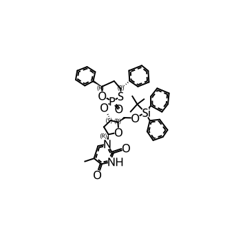 Cc1cn([C@H]2C[C@H](OP3(=O)O[C@@H](c4ccccc4)C[C@H](c4ccccc4)S3)[C@@H](CO[Si](c3ccccc3)(c3ccccc3)C(C)(C)C)O2)c(=O)[nH]c1=O